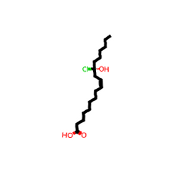 CCCCCC[C@](O)(Cl)C/C=C\CCCCCCCC(=O)O